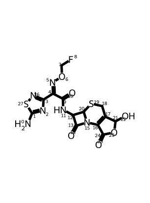 Nc1nc(/C(=N/OCF)C(=O)NC2C(=O)N3C4=C(CSC23)C(O)OC4=O)ns1